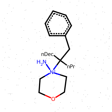 CCCCCCCCCCC(CCC)(Cc1ccccc1)[N+]1(N)CCOCC1